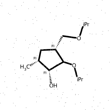 CC(C)OC[C@H]1C[C@@H](C)[C@@H](O)C1OC(C)C